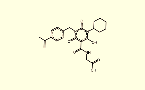 C=C(C)c1ccc(Cn2c(=O)c(C(=O)NCC(=O)O)c(O)n(C3CCCCC3)c2=O)cc1